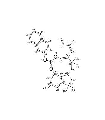 C=C/C(C)=C\C1=C/OP(Oc2ccc3ccccc3c2)Oc2cc(C)cc3c2C(CC1(C)C)CC3(C)C